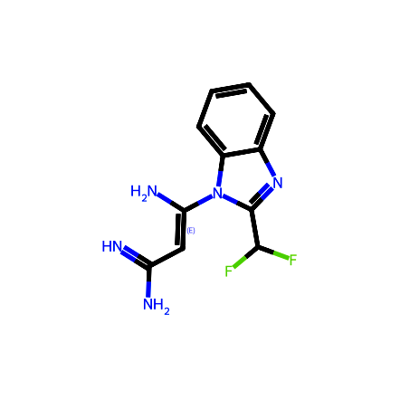 N=C(N)/C=C(\N)n1c(C(F)F)nc2ccccc21